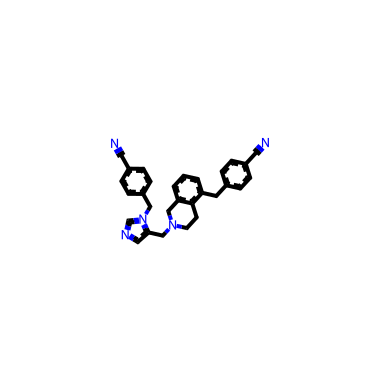 N#Cc1ccc(Cc2cccc3c2CCN(Cc2cncn2Cc2ccc(C#N)cc2)C3)cc1